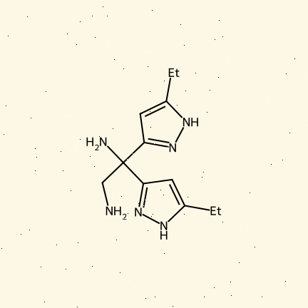 CCc1cc(C(N)(CN)c2cc(CC)[nH]n2)n[nH]1